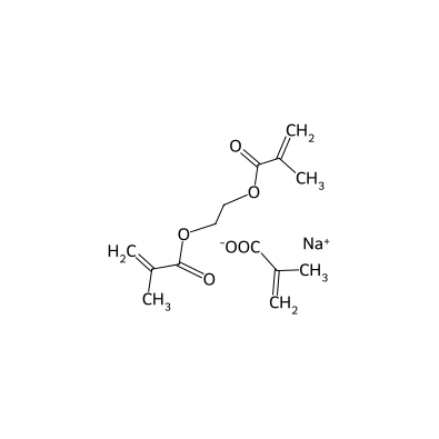 C=C(C)C(=O)OCCOC(=O)C(=C)C.C=C(C)C(=O)[O-].[Na+]